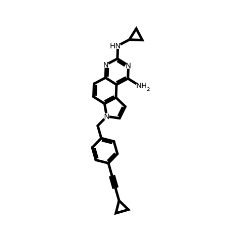 Nc1nc(NC2CC2)nc2ccc3c(ccn3Cc3ccc(C#CC4CC4)cc3)c12